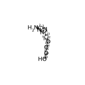 Nc1ccc2ncc(-c3ccc(OCCOCCOCCO)cc3)nc2n1